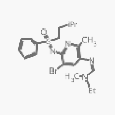 CCN(C)/C=N\c1cc(Br)c(N=S(=O)(CCC(C)C)c2ccccc2)nc1C